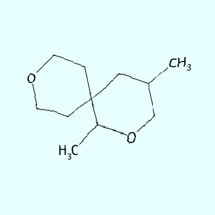 CC1COC(C)C2(CCOCC2)C1